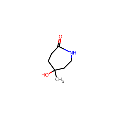 CC1(O)CCNC(=O)CC1